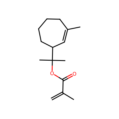 C=C(C)C(=O)OC(C)(C)C1C=C(C)CCCC1